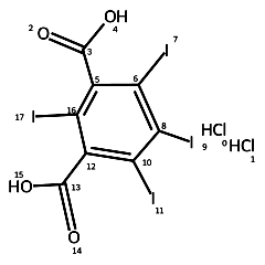 Cl.Cl.O=C(O)c1c(I)c(I)c(I)c(C(=O)O)c1I